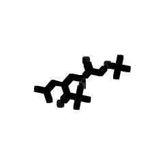 CC(C)C[C@@H](CNC(=O)COC(C)(C)C)C(=O)C(C)(C)C